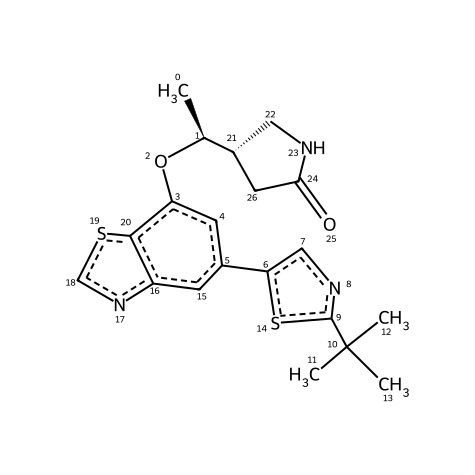 C[C@H](Oc1cc(-c2cnc(C(C)(C)C)s2)cc2ncsc12)[C@@H]1CNC(=O)C1